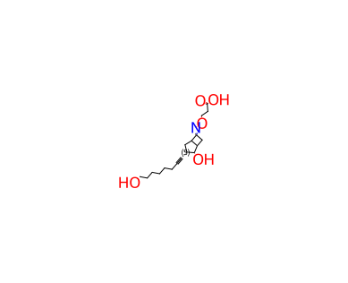 O=C(O)CCON=C1CC2C1C[C@@H](C#CCCCCCCO)C2O